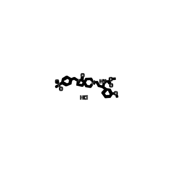 COC(=O)NC(CCN1CCC2(CC1)CCN(Cc1ccc(S(C)(=O)=O)cc1)C2=O)c1cccc(OC)c1.Cl